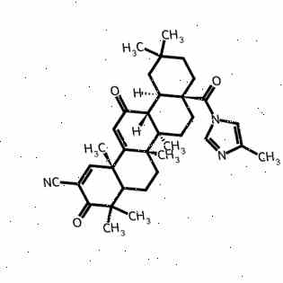 Cc1cn(C(=O)[C@]23CCC(C)(C)C[C@@H]2[C@H]2C(=O)C=C4[C@@]5(C)C=C(C#N)C(=O)C(C)(C)C5CC[C@@]4(C)[C@]2(C)CC3)cn1